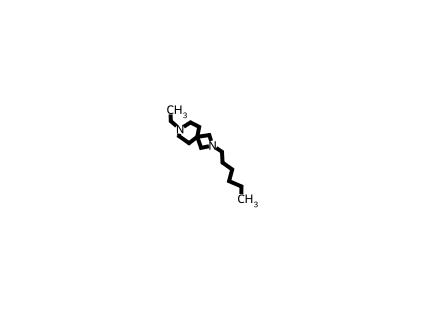 CCCCCCN1CC2(CCN(CC)CC2)C1